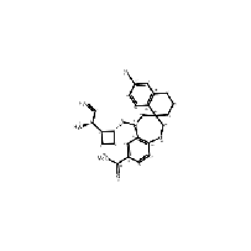 C=C[C@H](C)[C@@H]1CC[C@H]1CN1C[C@@]2(CCCc3cc(Cl)ccc32)COc2ccc(C(=O)OC)cc21